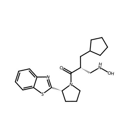 O=C([C@@H](CNO)CC1CCCC1)N1CCC[C@@H]1c1nc2ccccc2s1